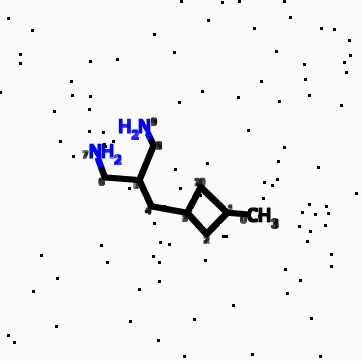 CC1CC(CC(CN)CN)C1